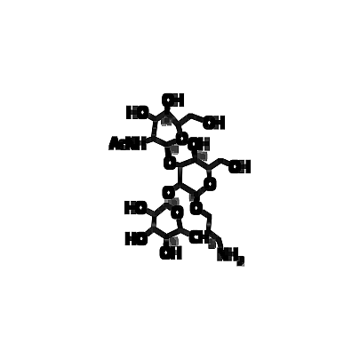 CC(=O)NC1C(O)[C@@H](O)C(CO)O[C@H]1OC1C(O[C@@H]2OC(C)[C@@H](O)C(O)C2O)[C@H](OCCCN)OC(CO)[C@@H]1O